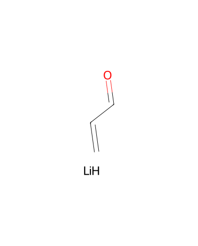 C=CC=O.[LiH]